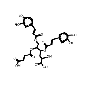 O=C(O)CCC(=O)OC(COC(=O)/C=C/c1ccc(O)c(O)c1)C(CC(O)C(=O)O)OC(=O)/C=C/c1ccc(O)c(O)c1